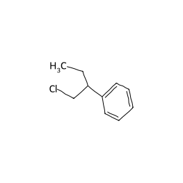 CCC(CCl)c1ccccc1